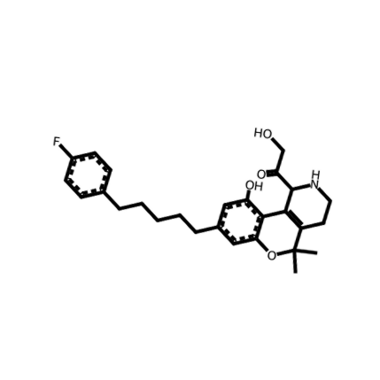 CC1(C)Oc2cc(CCCCCc3ccc(F)cc3)cc(O)c2C2=C1CCNC2C(=O)CO